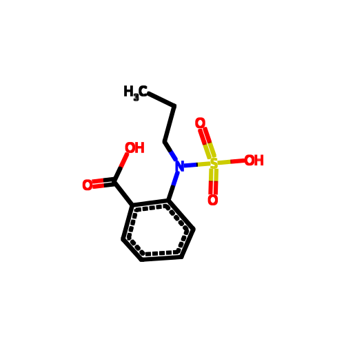 CCCN(c1ccccc1C(=O)O)S(=O)(=O)O